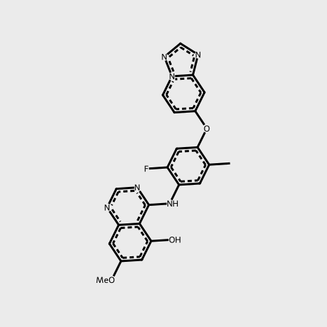 COc1cc(O)c2c(Nc3cc(C)c(Oc4ccn5ncnc5c4)cc3F)ncnc2c1